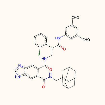 O=Cc1cc(C=O)cc(NC(=O)C(CNC(=O)c2cc3nc[nH]c3cc2C(=O)NCC23CC4CC(CC(C4)C2)C3)c2ccccc2F)c1